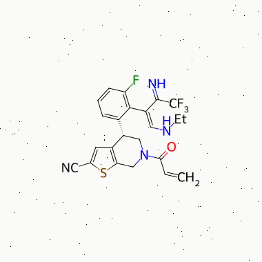 C=CC(=O)N1Cc2sc(C#N)cc2[C@H](c2cccc(F)c2/C(=C/NCC)C(=N)C(F)(F)F)C1